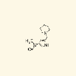 CN(C=O)c1c[nH]c([CH]N2CCCCC2)c1